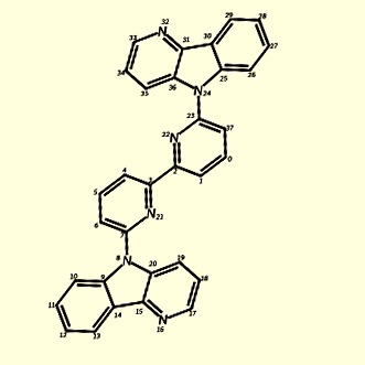 c1cc(-c2cccc(-n3c4ccccc4c4ncccc43)n2)nc(-n2c3ccccc3c3ncccc32)c1